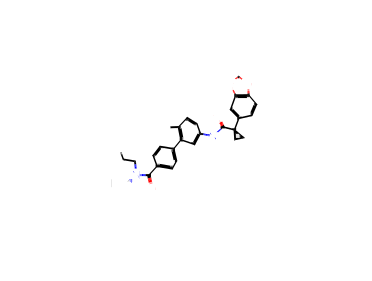 CCCN(C)C(=O)c1ccc(-c2cc(NC(=O)C3(c4ccc5c(c4)OCO5)CC3)ccc2C)cc1